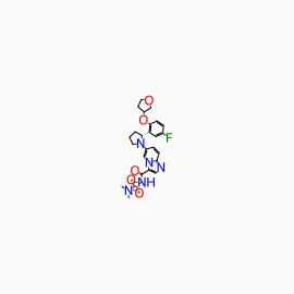 CN(C)S(=O)(=O)NC(=O)c1cnc2ccc(N3CCC[C@@H]3c3cc(F)ccc3OC3CCOC3)cn12